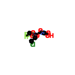 O=C(O)C1CCN(C(=O)CC[C@H]2CN(S(=O)(=O)c3cccc(C(F)(F)F)c3)c3cc(-c4cccc(Cl)c4)ccc3O2)CC1